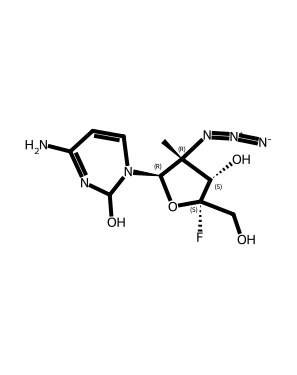 C[C@]1(N=[N+]=[N-])[C@H](N2C=CC(N)=NC2O)O[C@](F)(CO)[C@H]1O